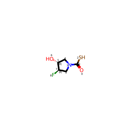 O=C(S)N1C[C@@H](O)[C@H](F)C1